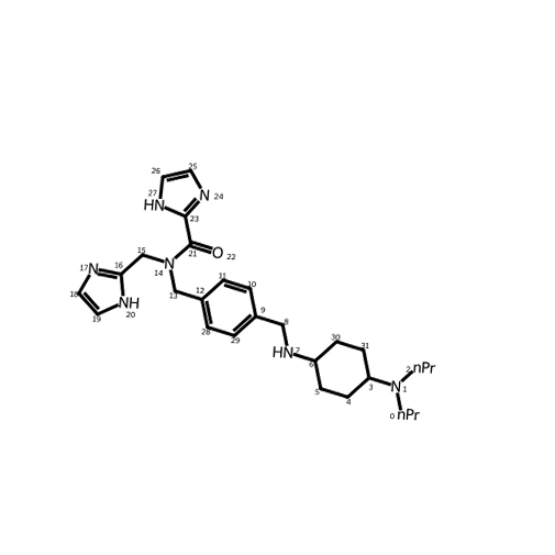 CCCN(CCC)C1CCC(NCc2ccc(CN(Cc3ncc[nH]3)C(=O)c3ncc[nH]3)cc2)CC1